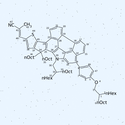 CCCCCCCCC(CCCCCC)COc1ccc(-c2cc3c4c5c2cccc5c2cccc5c6c(c(c4c52)n3CC(CCCCCC)CCCCCCCC)C(CCCCCCCC)(CCCCCCCC)c2cc(C=C(C)C#N)sc2-6)cc1